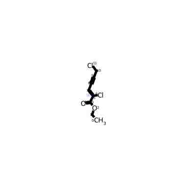 CCOC(=O)/C(Cl)=C/C#CCCl